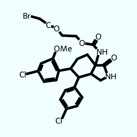 COc1cc(Cl)ccc1C1CCC2(NC(=O)OCCOCCBr)C(=O)NCC2C1c1ccc(Cl)cc1